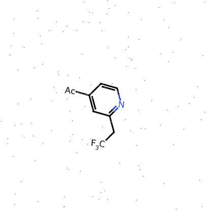 CC(=O)c1ccnc(CC(F)(F)F)c1